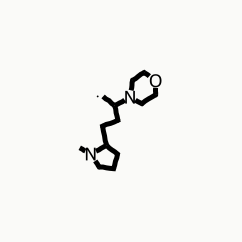 [CH2]C(CCC1CCCN1C)N1CCOCC1